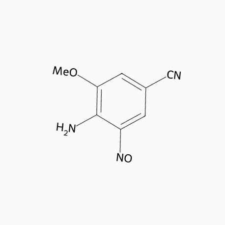 COc1cc(C#N)cc(N=O)c1N